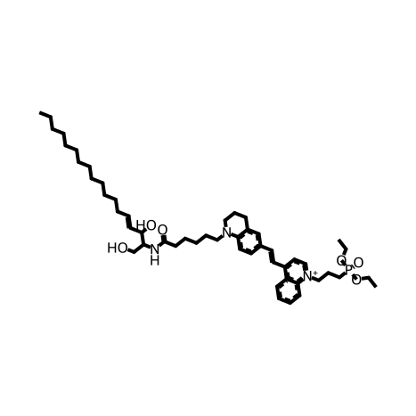 CCCCCCCCCCCCC/C=C/C(O)C(CO)NC(=O)CCCCCN1CCCc2cc(C=Cc3cc[n+](CCCP(=O)(OCC)OCC)c4ccccc34)ccc21